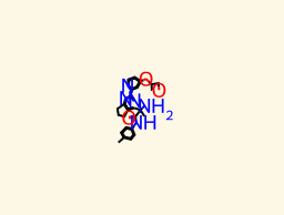 Cc1ccc(NC(=O)C(C)(N)c2nc(-c3cc(OC4COC4)ccn3)nc3c2CCC3)cc1